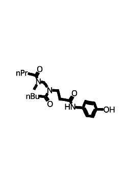 CCCCC(=O)N(CCC(=O)Nc1ccc(O)cc1)CN(C)C(=O)CCC